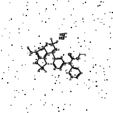 CCOC(=O)N(c1cccnc1)c1cccc(C2=NC(C)(C)Cc3cc(OC)c4c(c32)CC(C)(C)O4)c1.Cl.Cl